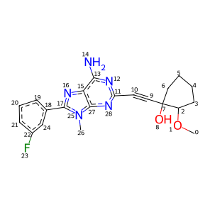 COC1CCCCC1(O)C#Cc1nc(N)c2nc(-c3cccc(F)c3)n(C)c2n1